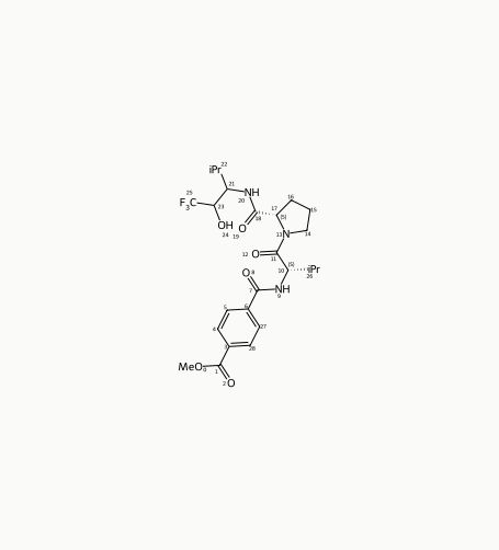 COC(=O)c1ccc(C(=O)N[C@H](C(=O)N2CCC[C@H]2C(=O)NC(C(C)C)C(O)C(F)(F)F)C(C)C)cc1